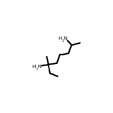 CCC(C)(N)CCCC(C)N